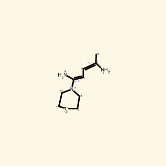 C/C(N)=C/C=C(\N)N1CCCCC1